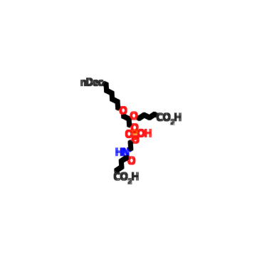 CCCCCCCCCCCCCCCCOCC(COP(=O)(O)OCCNC(=O)CCCC(=O)O)OCCCCC(=O)O